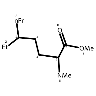 CCCC(CC)CCC(NC)C(=O)OC